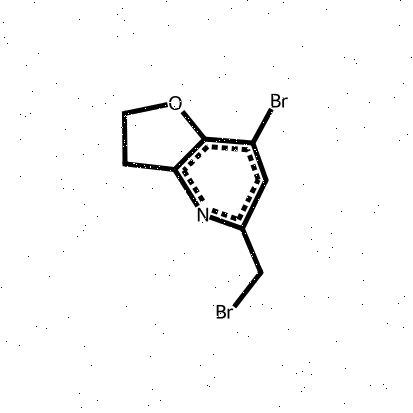 BrCc1cc(Br)c2c(n1)CCO2